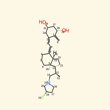 C=C1/C(=C\C=C2/CCC[C@]3(C)[C@@H]([C@@H](C)CN4CC[C@@H](F)C4)CC[C@@H]23)C[C@@H](O)C[C@@H]1O